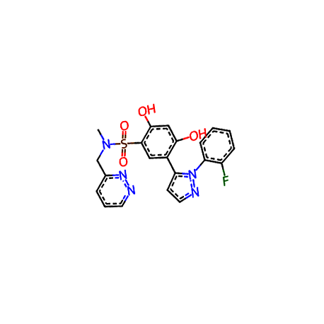 CN(Cc1cccnn1)S(=O)(=O)c1cc(-c2ccnn2-c2ccccc2F)c(O)cc1O